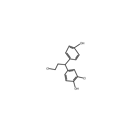 Oc1ccc(C(CCCl)c2ccc(O)c(Cl)c2)cc1